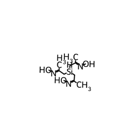 CC(C[SiH](CC(C)=NO)CC(C)=NO)=NO